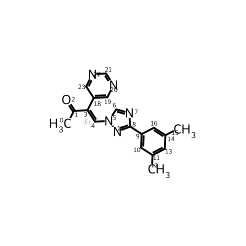 CC(=O)/C(=C/n1cnc(-c2cc(C)cc(C)c2)n1)c1cncnc1